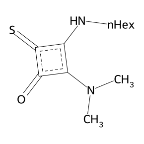 CCCCCCNc1c(N(C)C)c(=O)c1=S